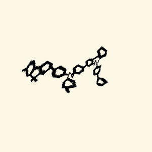 Cc1ccc(N(c2ccc(-c3ccc4c(c3)C(C)(C)c3cc(C)ccc3-4)cc2)c2ccc(-c3ccc4c5ccccc5n(-c5ccc(-c6ccccc6)cc5)c4c3)cc2)cc1